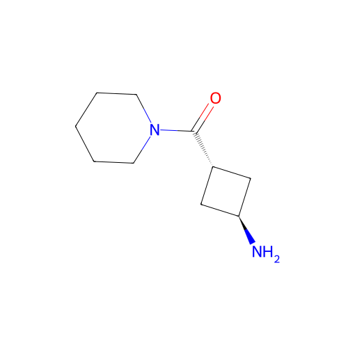 N[C@H]1C[C@H](C(=O)N2CCCCC2)C1